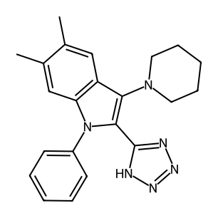 Cc1cc2c(N3CCCCC3)c(-c3nnn[nH]3)n(-c3ccccc3)c2cc1C